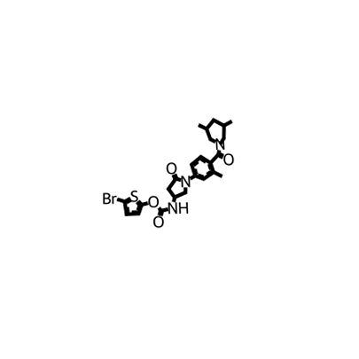 Cc1cc(N2CC(NC(=O)Oc3ccc(Br)s3)CC2=O)ccc1C(=O)N1CC(C)CC(C)C1